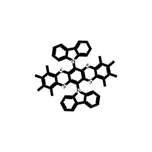 Cc1c(C)c(C)c2sc3c(-n4c5ccccc5c5ccccc54)c4sc5c(C)c(C)c(C)c(C)c5sc4c(-n4c5c(c6ccccc64)=CCCC=5)c3sc2c1C